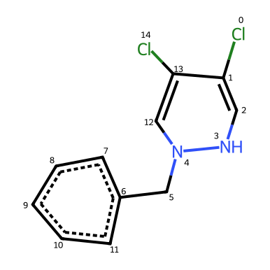 ClC1=CNN(Cc2ccccc2)C=C1Cl